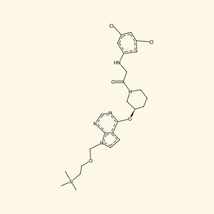 C[Si](C)(C)CCOCn1ccc2c(O[C@@H]3CCCN(C(=O)CNc4cc(Cl)cc(Cl)c4)C3)ncnc21